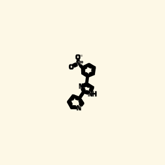 O=[N+]([O-])c1cccc(-c2c[nH]c(-c3cccnc3)n2)c1